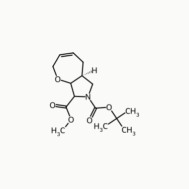 COC(=O)C1C2OCC=CC[C@H]2CN1C(=O)OC(C)(C)C